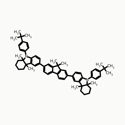 CC(C)(C)c1ccc(N2c3ccc(-c4ccc5c(c4)C(C)(C)c4cc(-c6ccc7c(c6)C6(C)CCCCC6(C)N7c6ccc(C(C)(C)C)cc6)ccc4-5)cc3C3(C)CCCCC23C)cc1